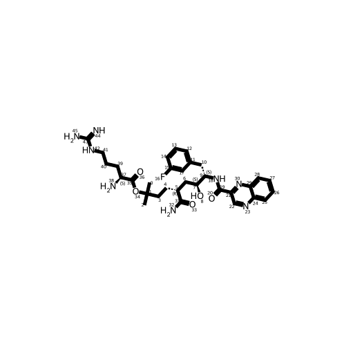 CC(C)(CC[C@H](C[C@H](O)[C@H](Cc1cccc(F)c1)NC(=O)c1cnc2ccccc2n1)C(N)=O)OC(=O)[C@@H](N)CCCNC(=N)N